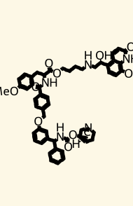 COc1ccc(CC(NC(=O)c2ccc(COc3cccc(C(NC(=O)O[C@H]4CN5CCC4CC5)c4ccccc4)c3)cc2)C(=O)OCCCCNC[C@H](O)c2ccc(O)c3[nH]c(=O)ccc23)cc1